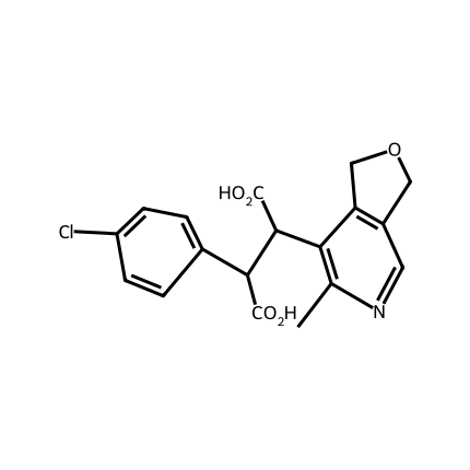 Cc1ncc2c(c1C(C(=O)O)C(C(=O)O)c1ccc(Cl)cc1)COC2